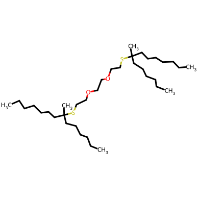 CCCCCCCC(C)(CCCCCC)SCCOCCOCCSC(C)(CCCCCC)CCCCCCC